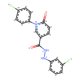 O=C(NNc1cccc(F)c1)c1ccc(=O)n(-c2ccc(F)cc2)c1